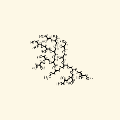 COCC(COCC(COCC(COCC(O)CO)OCC(CO)OCC(O)CO)OCC(O)COCC(O)CO)OCC(COCC(COCC(CO)OCC(O)CO)OCC(O)COCC(O)CO)OCC(CO)OCC(O)CO